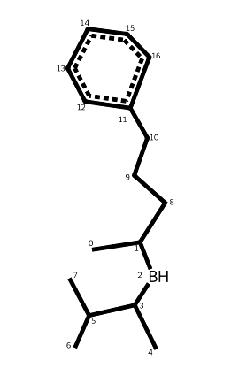 CC(BC(C)C(C)C)CCCc1ccccc1